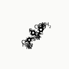 CC(C)(c1ccc(S(N)(=O)=O)c(Cl)c1)c1cnc(SCc2ccc(Cl)c(-c3nnn[nH]3)c2)n1-c1ccc(F)cc1